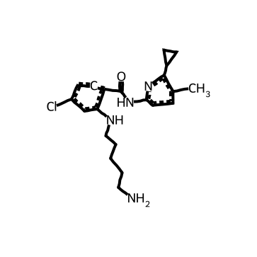 Cc1ccc(NC(=O)c2ccc(Cl)cc2NCCCCCN)nc1C1CC1